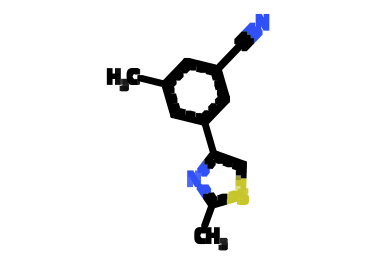 Cc1cc(C#N)cc(-c2csc(C)n2)c1